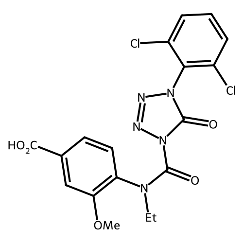 CCN(C(=O)n1nnn(-c2c(Cl)cccc2Cl)c1=O)c1ccc(C(=O)O)cc1OC